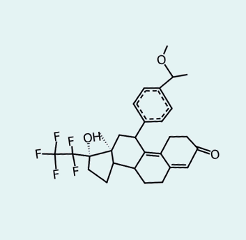 COC(C)c1ccc(C2C[C@@]3(C)C(CC[C@@]3(O)C(F)(F)C(F)(F)F)C3CCC4=CC(=O)CCC4=C23)cc1